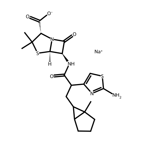 CC12CCCC1C2CC(C(=O)N[C@@H]1C(=O)N2[C@@H]1SC(C)(C)[C@@H]2C(=O)[O-])c1csc(N)n1.[Na+]